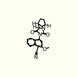 COc1cc(N2C(=O)[C@@H]3[C@@H]4CC[C@@H](C4)N3C2=O)c2ccccc2c1C#N